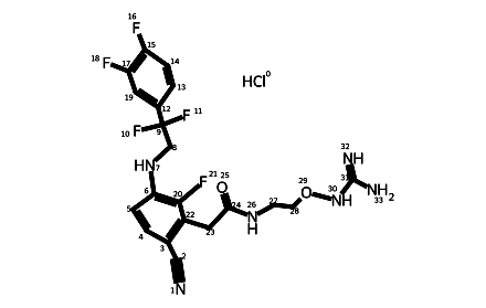 Cl.N#Cc1ccc(NCC(F)(F)c2ccc(F)c(F)c2)c(F)c1CC(=O)NCCONC(=N)N